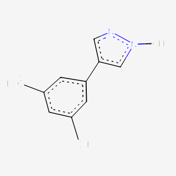 Cc1cc(C)cc(-c2cnn(C)c2)c1